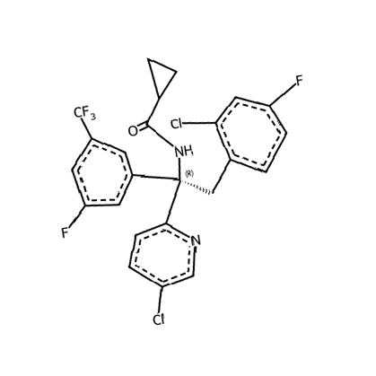 O=C(N[C@](Cc1ccc(F)cc1Cl)(c1cc(F)cc(C(F)(F)F)c1)c1ccc(Cl)cn1)C1CC1